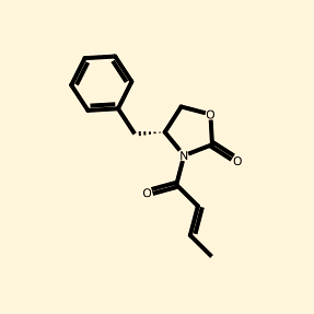 C/C=C/C(=O)N1C(=O)OC[C@H]1Cc1ccccc1